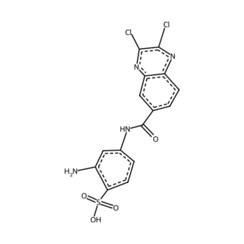 Nc1cc(NC(=O)c2ccc3nc(Cl)c(Cl)nc3c2)ccc1S(=O)(=O)O